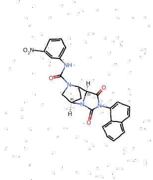 O=C1[C@@H]2C3C[C@H](CN3C(=O)Nc3cccc([N+](=O)[O-])c3)N2C(=O)N1c1cccc2ccccc12